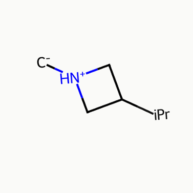 [CH2-][NH+]1CC(C(C)C)C1